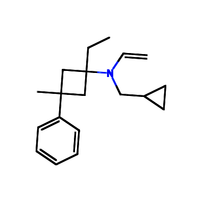 C=CN(CC1CC1)C1(CC)CC(C)(c2ccccc2)C1